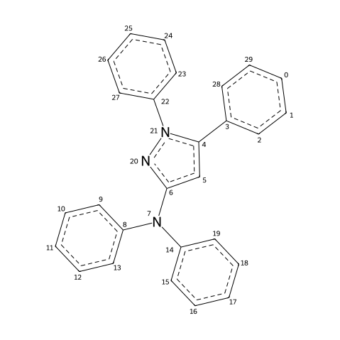 c1ccc(-c2cc(N(c3ccccc3)c3ccccc3)nn2-c2ccccc2)cc1